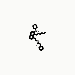 CCCCCCc1c([S+]([O-])C2CCCCC2)ccc2cccc(CCNC(=O)Cc3ccccc3)c12